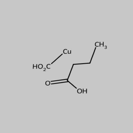 CCCC(=O)O.O=[C](O)[Cu]